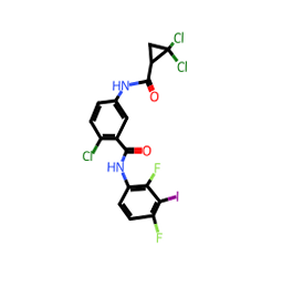 O=C(Nc1ccc(F)c(I)c1F)c1cc(NC(=O)C2CC2(Cl)Cl)ccc1Cl